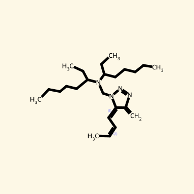 C=c1nnn(CN(C(CC)CCCCC)C(CC)CCCCC)/c1=C/C=C\C